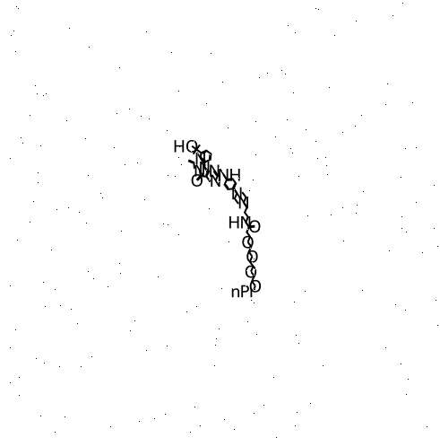 C=CCn1c(=O)c2cnc(Nc3ccc(N4CCN(CCCNC(=O)CCOCCOCCOCCOCCC)CC4)cc3)nc2n1-c1cccc(C(C)(C)O)n1